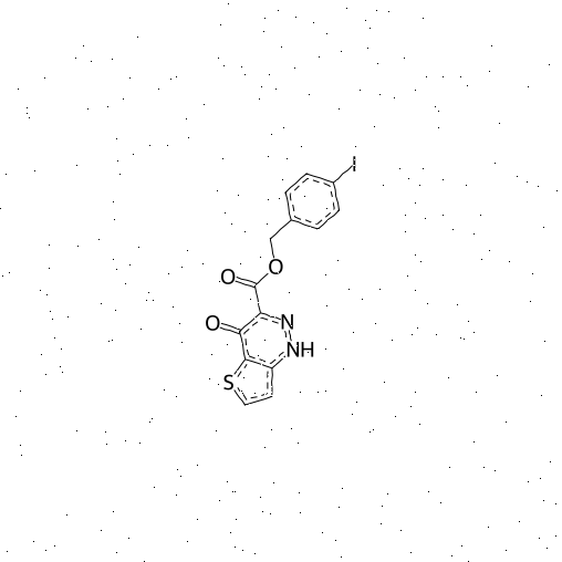 O=C(OCc1ccc(I)cc1)c1n[nH]c2ccsc2c1=O